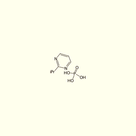 CC(C)c1ncccn1.O=P(O)(O)O